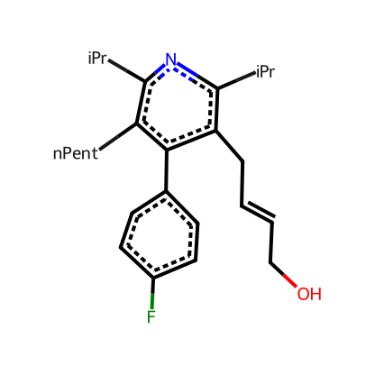 CCCCCc1c(C(C)C)nc(C(C)C)c(CC=CCO)c1-c1ccc(F)cc1